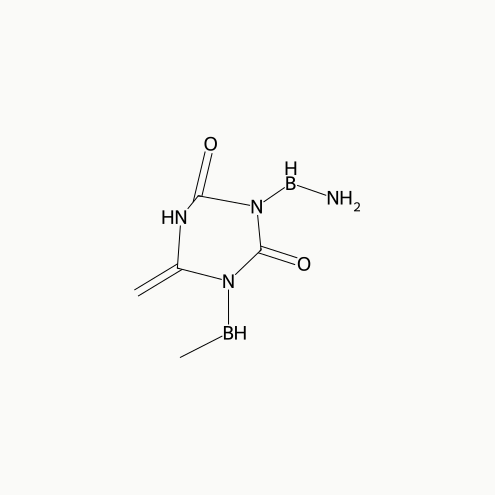 C=C1NC(=O)N(BN)C(=O)N1BC